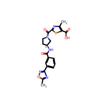 Cc1nc(-c2cccc(C(=O)N[C@H]3CCN(C(=O)c4nc(C)c(C(=O)O)s4)C3)c2)no1